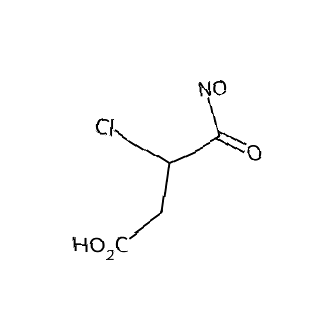 O=NC(=O)C(Cl)CC(=O)O